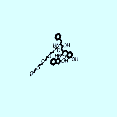 COCCOCCOCCOCCOC(=O)NC(Cc1ccccc1)C(O)CC(Cc1ccc(O)cc1)C(=O)N[C@H]1c2ccccc2C[C@@H]1O